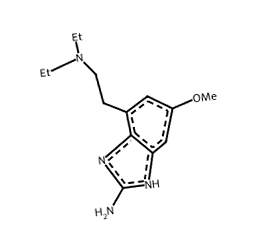 CCN(CC)CCc1cc(OC)cc2[nH]c(N)nc12